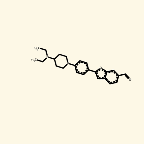 CCN(CC)C1CCN(c2ccc(-c3cc4ccc(C=O)cc4o3)cc2)CC1